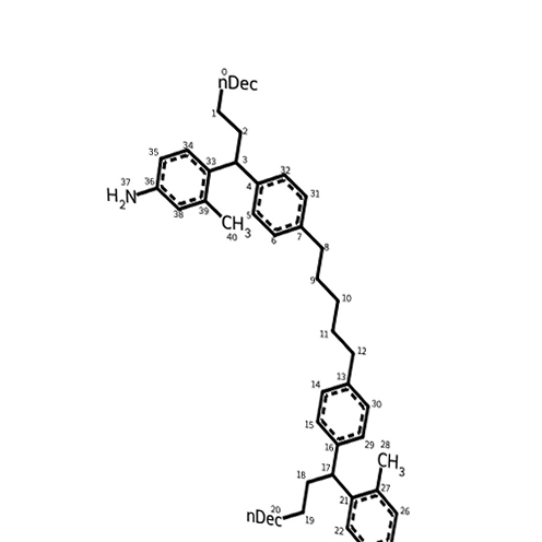 CCCCCCCCCCCCC(c1ccc(CCCCCc2ccc(C(CCCCCCCCCCCC)c3ccc(N)cc3C)cc2)cc1)c1ccc(N)cc1C